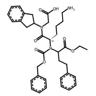 CCOC(=O)C(CCc1ccccc1)N(C(=O)OCc1ccccc1)[C@@H](CCCCN)C(=O)N(CC(=O)O)C1Cc2ccccc2C1